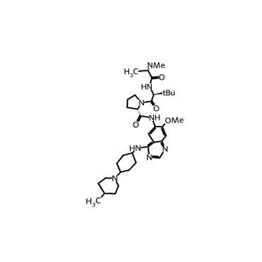 CN[C@@H](C)C(=O)N[C@H](C(=O)N1CCC[C@H]1C(=O)Nc1cc2c(NC3CCC(N4CCC(C)CC4)CC3)ncnc2cc1OC)C(C)(C)C